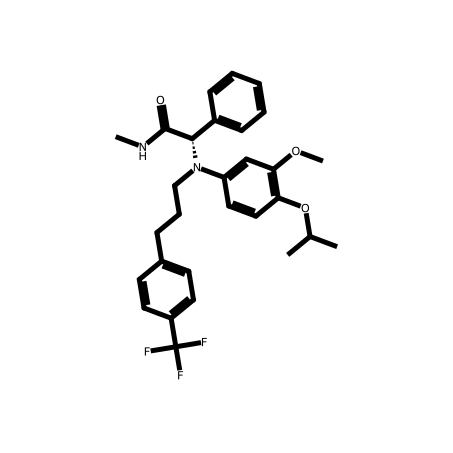 CNC(=O)[C@H](c1ccccc1)N(CCCc1ccc(C(F)(F)F)cc1)c1ccc(OC(C)C)c(OC)c1